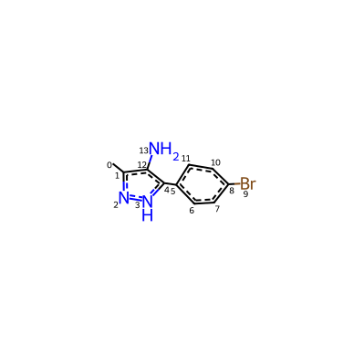 Cc1n[nH]c(-c2ccc(Br)cc2)c1N